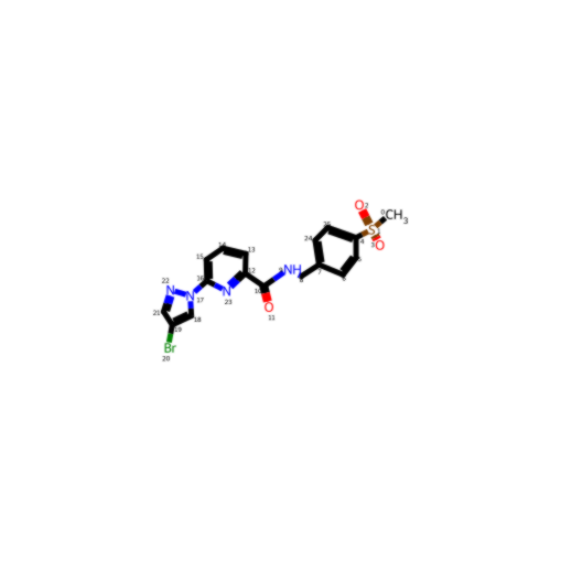 CS(=O)(=O)c1ccc(CNC(=O)c2cccc(-n3cc(Br)cn3)n2)cc1